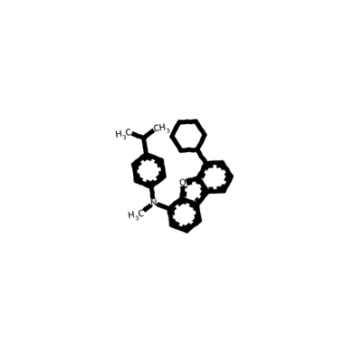 CC(C)c1ccc(N(C)c2cccc3c2oc2c(C4CCCCC4)cccc23)cc1